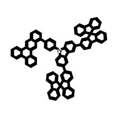 c1ccc2c(c1)-c1ccccc1C21c2ccccc2-c2ccc(-c3ccc4c(c3)c3cc(-c5ccc6c(c5)C5(c7ccccc7-c7ccccc75)c5ccccc5-6)ccc3n4-c3ccc(-c4cccc5cc6c7ccccc7c7ccccc7c6cc45)cc3)cc21